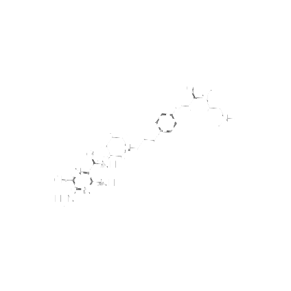 CN(C)CCN(C)C(=O)COc1ccc(CCCN2CCCC(NC(=O)c3nc(Cl)c(N)nc3N)C2)cc1